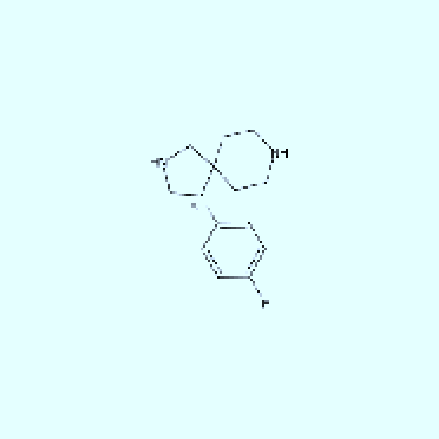 Fc1ccc([C@@H]2CNCC23CCNCC3)cc1